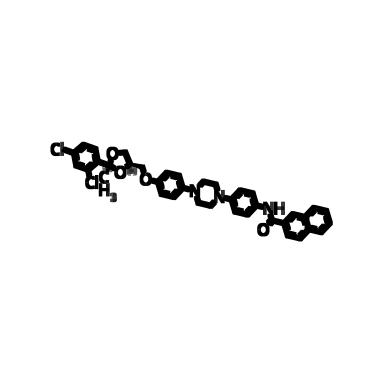 C[C@]1(c2ccc(Cl)cc2Cl)OC[C@@H](COc2ccc(N3CCN(c4ccc(NC(=O)c5ccc6ccccc6c5)cc4)CC3)cc2)O1